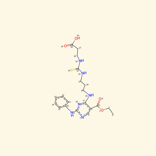 CCOC(=O)c1cnc(Nc2ccccc2)nc1NCCCNC(=S)NCCC(=O)O